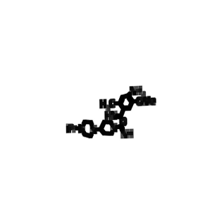 COc1cc(C(=N)OC(=N)N2CCC(N3CCN(C(C)C)CC3)CC2)c(C)cc1N